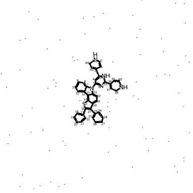 C1=CC(C2=CC(n3c4ccccc4c4c5sc(-c6ccccc6)c(-c6ccccc6)c5ccc43)=NC(C3=CCNC=C3)N2)=CCN1